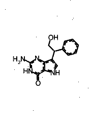 Nc1nc2c(C(CO)c3ccccc3)c[nH]c2c(=O)[nH]1